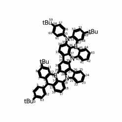 CC(C)(C)c1ccc(C2c3ccc(C(C)(C)C)cc3B3c4c2cccc4-n2c4ccccc4c4c2c3cc2c3ccc5c6c3n(c24)-c2ccccc2B6c2cc(C(C)(C)C)ccc2N5c2ccc(C(C)(C)C)cc2)cc1